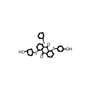 O=C1c2cccc(Sc3ccc(O)cc3)c2C(=O)c2c(Sc3ccccc3)ccc(Sc3ccc(O)cc3)c21